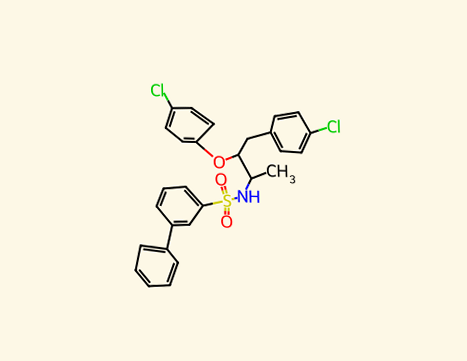 CC(NS(=O)(=O)c1cccc(-c2ccccc2)c1)C(Cc1ccc(Cl)cc1)Oc1ccc(Cl)cc1